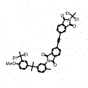 CCC(C)(CC)c1cc(C(C)(C)c2ccc(C)c(N3C(=O)c4ccc(C#Cc5ccc6c(c5)C(=O)N(C(C)(CC)CC)C6=O)cc4C3=O)c2)ccc1OC